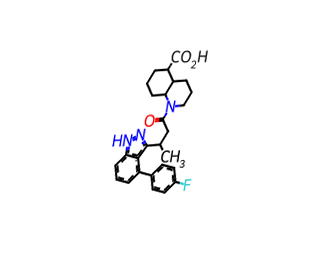 CC(CC(=O)N1CCCC2C(C(=O)O)CCCC21)c1n[nH]c2cccc(-c3ccc(F)cc3)c12